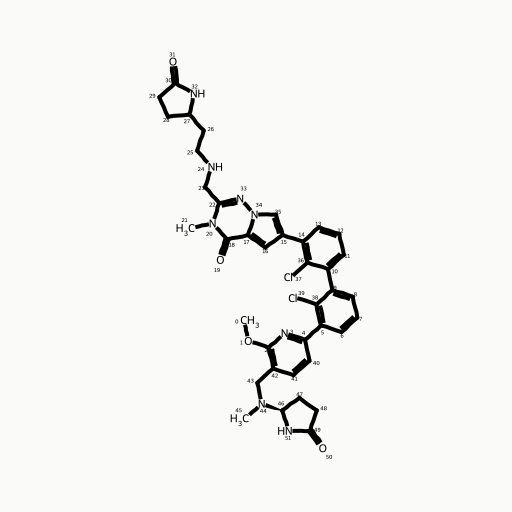 COc1nc(-c2cccc(-c3cccc(-c4cc5c(=O)n(C)c(CNCCC6CCC(=O)N6)nn5c4)c3Cl)c2Cl)ccc1CN(C)[C@H]1CCC(=O)N1